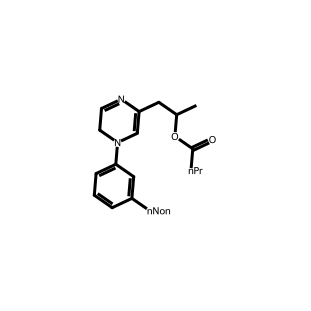 CCCCCCCCCc1cccc(N2C=C(CC(C)OC(=O)CCC)N=CC2)c1